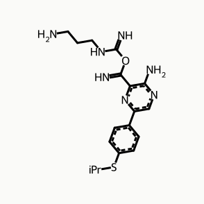 CC(C)Sc1ccc(-c2cnc(N)c(C(=N)OC(=N)NCCCN)n2)cc1